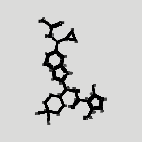 CCCC(=O)N[C@@H](c1cnn2cc([C@@H](NC(=O)c3c(C)noc3C(C)C)C3CCC(F)(F)CC3)nc2c1)C1CC1